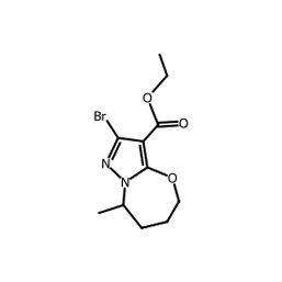 CCOC(=O)c1c(Br)nn2c1OCCCC2C